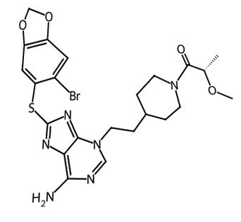 CO[C@@H](C)C(=O)N1CCC(CCn2cnc(N)c3nc(Sc4cc5c(cc4Br)OCO5)nc2-3)CC1